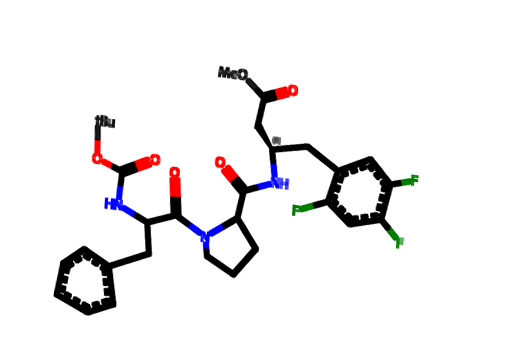 COC(=O)C[C@@H](Cc1cc(F)c(F)cc1F)NC(=O)C1CCCN1C(=O)C(Cc1ccccc1)NC(=O)OC(C)(C)C